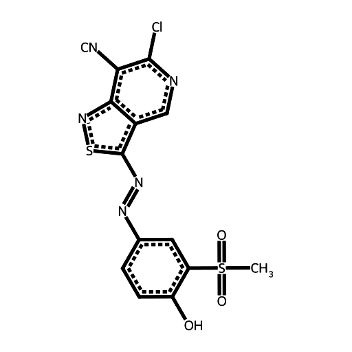 [C-]#[N+]c1c(Cl)ncc2c(/N=N/c3ccc(O)c(S(C)(=O)=O)c3)snc12